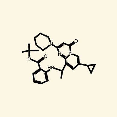 CC(Nc1ccccc1C(=O)OC(C)(C)C)c1cc(C2CC2)cn2c(=O)cc(N3CCCCC3)nc12